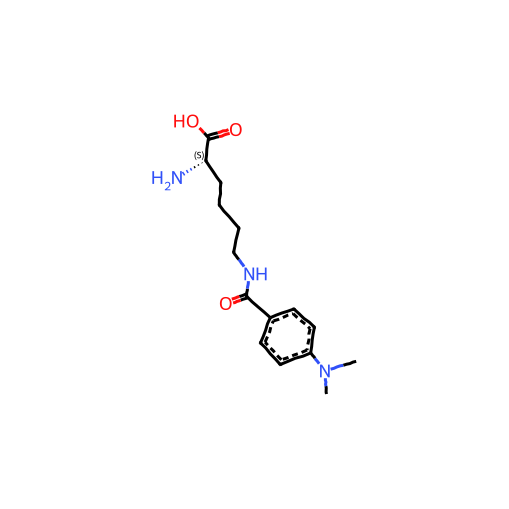 CN(C)c1ccc(C(=O)NCCCC[C@H](N)C(=O)O)cc1